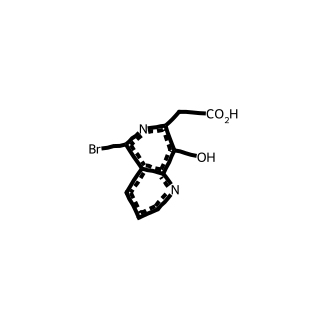 O=C(O)Cc1nc(Br)c2cccnc2c1O